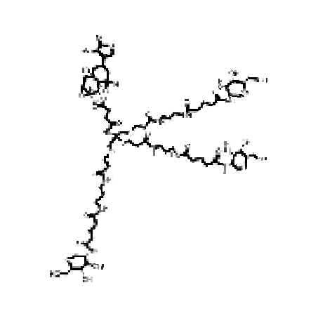 CCCCC1=C(C2C[C@@H]3O[C@@]34[C@H](OC(=O)CCC(=O)NC(COCCC(=O)NCCCNC(=O)CCCC(=O)N[C@H]3CO[C@H](CO)[C@@H](O)[C@@H]3O)(COCCC(=O)NCCCNC(=O)CCCC(=O)N[C@H]3CO[C@H](CO)[C@@H](O)[C@@H]3O)OCCC(=O)NCCCNC(=O)CCCC(=O)N[C@H]3CO[C@H](CO)[C@@H](O)[C@@H]3O)[C@@]3(C(C)C)O[C@H]3C[C@@]4(O)C2)COC1=O